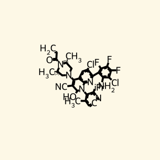 C=CC(=O)N1[C@H](C)CN(C2=C(C#N)C(O)N(c3c(C)ccnc3C(C)C)c3nc(-c4c(N)c(Cl)c(F)c(F)c4F)c(Cl)cc32)C[C@@H]1C